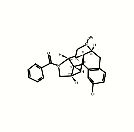 CCCN1CC[C@@]23c4cc(O)ccc4C[C@@H]1[C@]21CC[C@@H]2[C@H]3[C@@H](CN2C(=O)c2ccccc2)C1